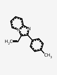 C=Cc1c(-c2ccc(C)cc2)nc2ccccn12